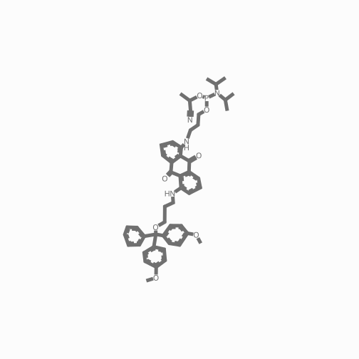 COc1ccc(C(OCCCNc2cccc3c2C(=O)c2cccc(NCCCOP(OC(C)C#N)N(C(C)C)C(C)C)c2C3=O)(c2ccccc2)c2ccc(OC)cc2)cc1